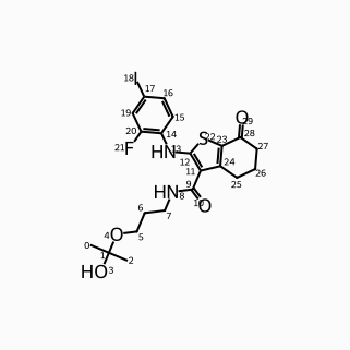 CC(C)(O)OCCCNC(=O)c1c(Nc2ccc(I)cc2F)sc2c1CCCC2=O